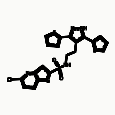 O=S(=O)(NCCc1c(-c2cccs2)n[nH]c1-c1cccs1)c1cc2nc(Cl)ccc2s1